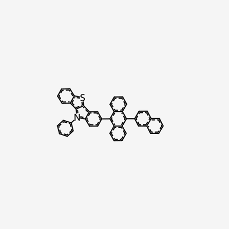 c1ccc(-n2c3ccc(-c4c5ccccc5c(-c5ccc6ccccc6c5)c5ccccc45)cc3c3sc4ccccc4c32)cc1